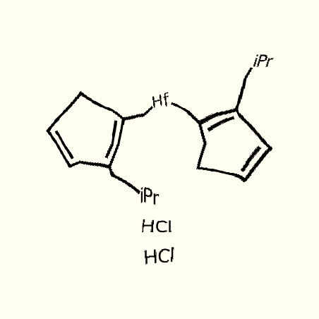 CC(C)C1=[C]([Hf][C]2=C(C(C)C)C=CC2)CC=C1.Cl.Cl